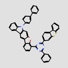 c1ccc(-c2ccc(-n3c4ccccc4c4cc5c(cc43)oc3c(-c4nc(-c6ccccc6)nc(-c6ccc7c(c6)sc6ccccc67)n4)cccc35)cc2)cc1